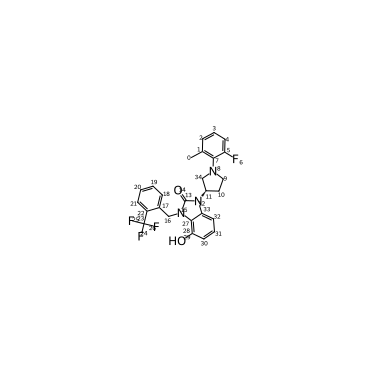 Cc1cccc(F)c1N1CC[C@@H](n2c(=O)n(Cc3ccccc3C(F)(F)F)c3c(O)cccc32)C1